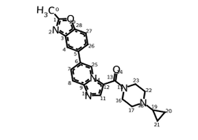 Cc1nc2cc(-c3ccc4ncc(C(=O)N5CCN(C6CC6)CC5)n4c3)ccc2o1